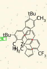 Cl.Cl.[CH2]=[Zr]([C]1=CC=CC1)([c]1ccccc1)([c]1cccc(C(F)(F)F)c1)[c]1c(C)c(C(C)(C)C)cc2c1Cc1cc(C)c(C(C)(C)C)cc1-2